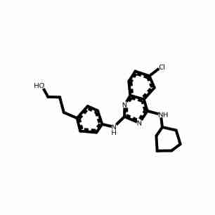 OCCCc1ccc(Nc2nc(NC3CCCCC3)c3cc(Cl)ccc3n2)cc1